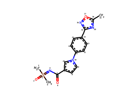 CS(C)(=O)=NC(=O)c1ccn(-c2ccc(-c3noc(C(F)(F)F)n3)cc2)c1